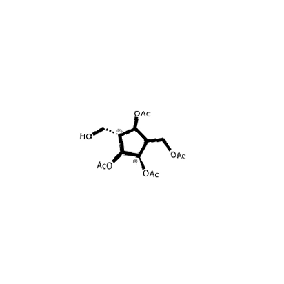 CC(=O)OCC1C(OC(C)=O)[C@@H](CO)C(OC(C)=O)[C@@H]1OC(C)=O